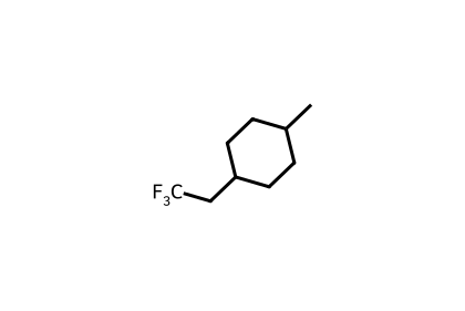 CC1CCC(CC(F)(F)F)CC1